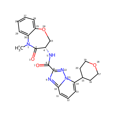 CN1C(=O)[C@@H](NC(=O)c2nc3cccc(C4CCOCC4)n3n2)COc2ccccc21